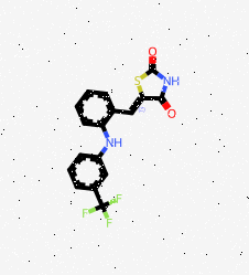 O=C1NC(=O)/C(=C/c2ccccc2Nc2cccc(C(F)(F)F)c2)S1